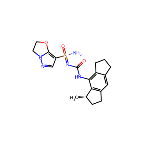 C[C@@H]1CCc2cc3c(c(NC(=O)N=[S@](N)(=O)c4cnn5c4OCC5)c21)CCC3